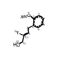 COc1ccccc1C/C=C(\F)CO